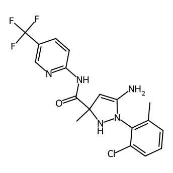 Cc1cccc(Cl)c1N1NC(C)(C(=O)Nc2ccc(C(F)(F)F)cn2)C=C1N